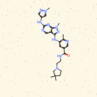 Cc1ncc(C(=O)NCCN2CCC(C)(C)C2)cc1Nc1nn(C)c2nc(Nc3cnn(C)c3)ncc12